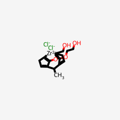 CC1C2=CC[C](=C2OCCO)[Zr+2][C]2=C(OCCO)C1=CC2.[Cl-].[Cl-]